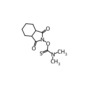 CN(C)C(=S)ON1C(=O)C2CCCCC2C1=O